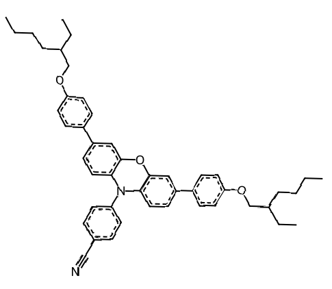 CCCCC(CC)COc1ccc(-c2ccc3c(c2)Oc2cc(-c4ccc(OCC(CC)CCCC)cc4)ccc2N3c2ccc(C#N)cc2)cc1